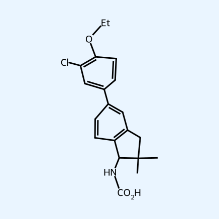 CCOc1ccc(-c2ccc3c(c2)CC(C)(C)C3NC(=O)O)cc1Cl